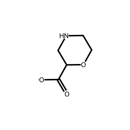 [O]C(=O)C1CNCCO1